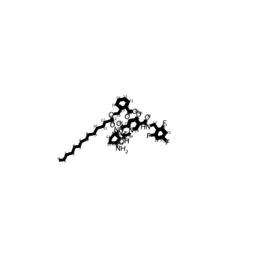 CCCCCCCCCCCCCC(=O)OCc1ccccc1C(=O)Oc1c2n(cc(C(=O)NCc3c(F)cc(F)cc3F)c1=O)C[C@H]1O[C@]3(N)CC[C@@](N)(C3)N1C2=O